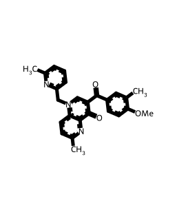 COc1ccc(C(=O)c2cn(Cc3cccc(C)n3)c3ccc(C)nc3c2=O)cc1C